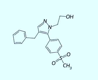 CS(=O)(=O)c1ccc(-c2c(Cc3ccccc3)cnn2CCO)cc1